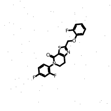 O=C1c2sc(COc3ccccc3F)nc2CCN1c1ccc(F)cc1F